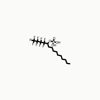 CCCCCCCCCCC(OP(=O)(O)O)C(F)(F)C(F)(F)C(F)(F)C(F)(F)F